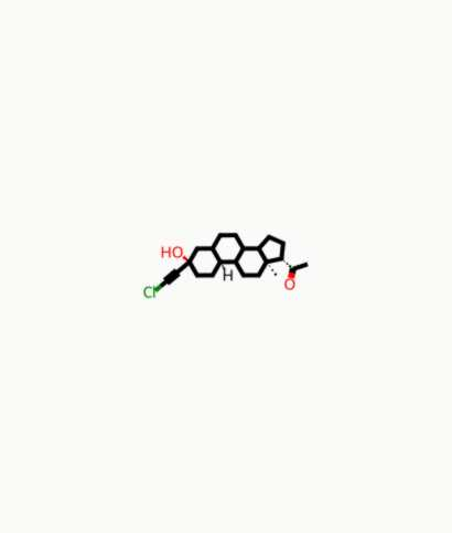 CC(=O)[C@H]1CCC2C3CCC4C[C@@](O)(C#CCl)CC[C@@H]4C3CC[C@@]21C